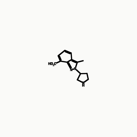 Cc1c2cccc(C(=O)O)c2nn1C1CCNC1